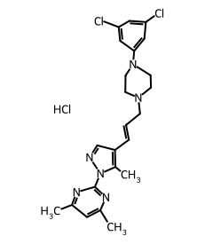 Cc1cc(C)nc(-n2ncc(/C=C/CN3CCN(c4cc(Cl)cc(Cl)c4)CC3)c2C)n1.Cl